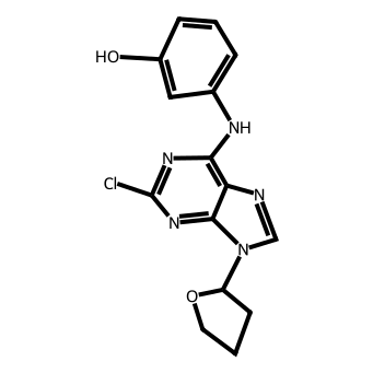 Oc1cccc(Nc2nc(Cl)nc3c2ncn3C2CCCO2)c1